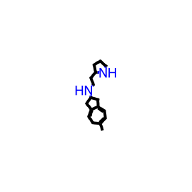 CC1=CC=C2CC(NCCC3CCCN3)CC2=CC1